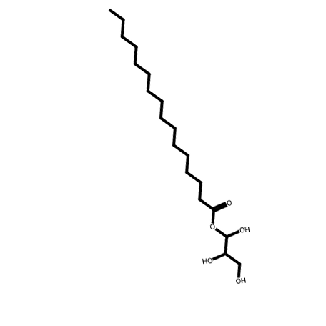 CCCCCCCCCCCCCCCC(=O)OC(O)C(O)CO